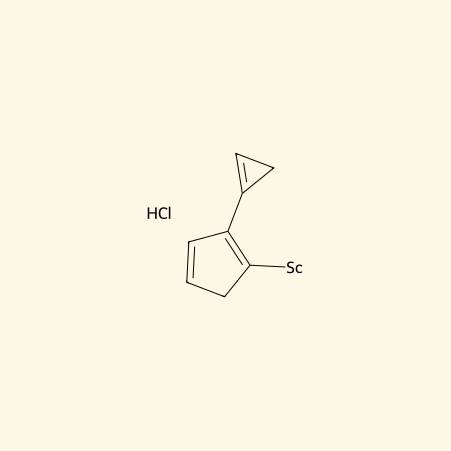 Cl.[Sc][C]1=C(C2=CC2)C=CC1